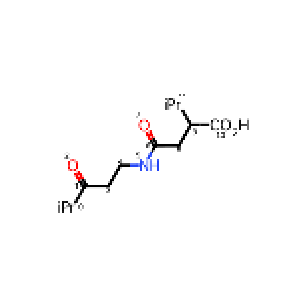 CC(C)C(=O)CCNC(=O)CC(C(=O)O)C(C)C